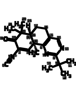 [C-]#[N+]C1=C[C@]2(C)c3nc(C(C)(C)C)ncc3CC[C@H]2C(C)(C)C1=O